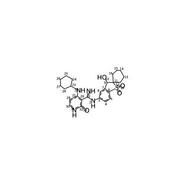 N=C(Nc1ccc2c(c1)C(O)C1(CCCCC1)S2(=O)=O)c1c(NC2CCCCC2)cc[nH]c1=O